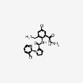 NCc1cc(Cl)cc(C(=O)NN)c1NC(=O)c1cccn1-c1ncccc1Cl